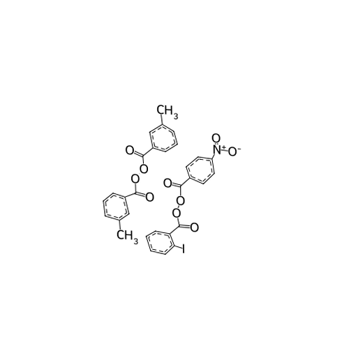 Cc1cccc(C(=O)OOC(=O)c2cccc(C)c2)c1.O=C(OOC(=O)c1ccccc1I)c1ccc([N+](=O)[O-])cc1